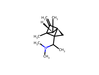 C=C1C2(C)[C@H](C)[C@]13CC23C(C)N(C)C